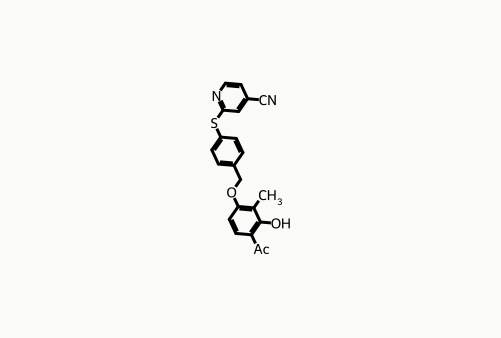 CC(=O)c1ccc(OCc2ccc(Sc3cc(C#N)ccn3)cc2)c(C)c1O